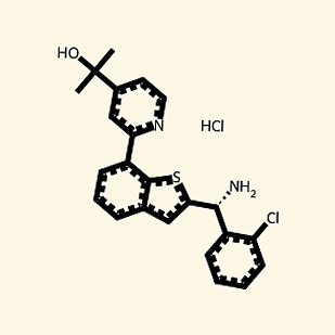 CC(C)(O)c1ccnc(-c2cccc3cc([C@H](N)c4ccccc4Cl)sc23)c1.Cl